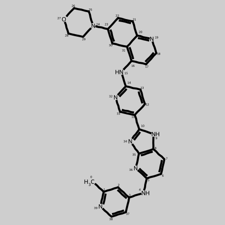 Cc1cc(Nc2ccc3[nH]c(-c4ccc(Nc5ccnc6ccc(N7CCOCC7)cc56)nc4)nc3n2)ccn1